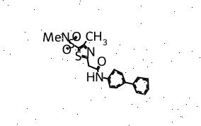 CNS(=O)(=O)c1sc(CC(=O)Nc2ccc(-c3ccccc3)cc2)nc1C